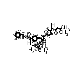 CC(C)CC(=O)NC1=CC[C@@H](c2ncc(-c3ccc(NC(=O)NCc4ccccc4)cc3N(O)NC(C)(C)C)s2)OC1